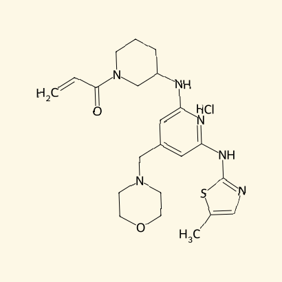 C=CC(=O)N1CCCC(Nc2cc(CN3CCOCC3)cc(Nc3ncc(C)s3)n2)C1.Cl